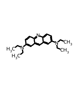 CCN(CC)c1ccc2nc3ccc(N(CC)CC)cc3cc2c1